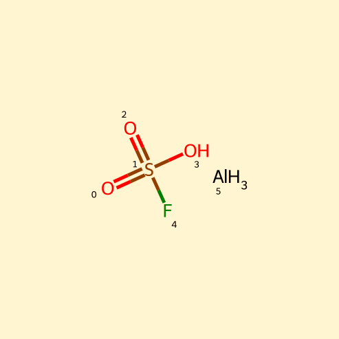 O=S(=O)(O)F.[AlH3]